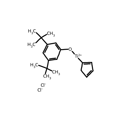 CC(C)(C)c1cc([O][Ti+2][C]2=CC=CC2)cc(C(C)(C)C)c1.[Cl-].[Cl-]